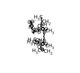 C=C(CCC)CNC(=O)c1cc(OC)c(OCCCCCOc2cc(NC(=O)OC(C)(C)C)c(C(=O)N3CC(=C)C[C@H]3C)cc2OC)cc1NC(=O)OCC1(SSc2ccc([N+](=O)[O-])cn2)CC1